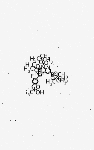 CN(Cc1ccc(-c2cc(-c3cc(B4OC(C)(C)C(C)(C)O4)cnc3N(C(=O)OC(C)(C)C)C(=O)OC(C)(C)C)on2)c(F)c1)C(=O)O